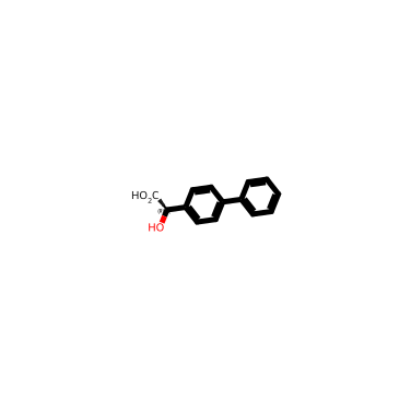 O=C(O)[C@H](O)c1ccc(-c2ccccc2)cc1